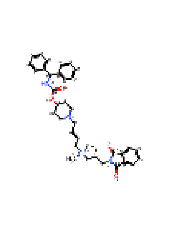 C[N+](C)(C/C=C/CN1CCC(OC(=O)NC(c2ccccc2)c2ccccc2)CC1)CCCN1C(=O)c2ccccc2C1=O